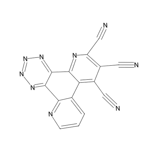 N#Cc1nc2c3nnnnc3c3ncccc3c2c(C#N)c1C#N